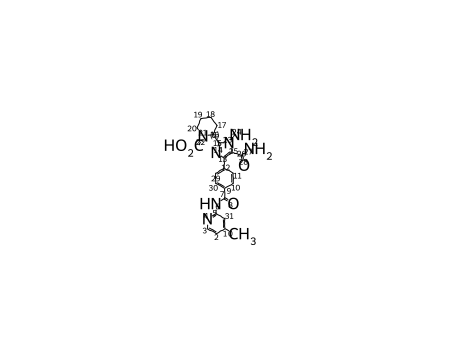 Cc1ccnc(NC(=O)c2ccc(-c3nc([C@@H]4CCCCN4C(=O)O)n(N)c3C(N)=O)cc2)c1